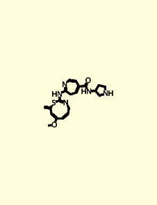 C=C1/C=C(OC)\C=C/C/N=C(/NC2=NC=CC(C(=O)NC3CCNC3)=CC2)S1